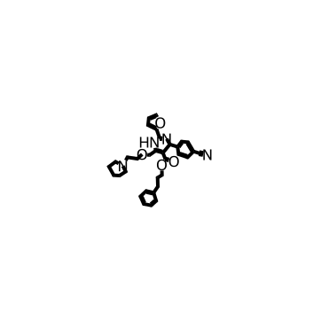 N#Cc1ccc(C2N=C(c3ccco3)NC(COCCN3CCCCC3)=C2C(=O)OCCCc2ccccc2)cc1